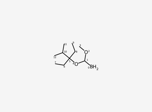 BC(OC)OC(CC)(CC)C(C)C